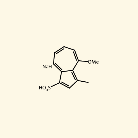 COc1ccccc2c(S(=O)(=O)O)cc(C)c1-2.[NaH]